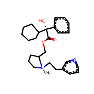 C[N+]1(CCc2cccnc2)CCCC1COC(=O)[C@](O)(c1ccccc1)C1CCCCC1